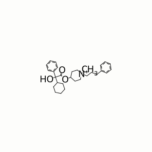 C[N+]1(CCCc2ccccc2)CCC(OC(=O)C(O)(c2ccccc2)C2CCCCC2)CC1